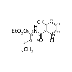 C=CCC(NC(=O)c1c(Cl)cccc1Cl)C(=O)OCC